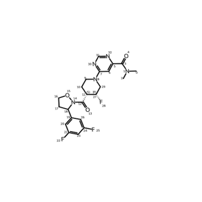 CN(C)C(=O)c1cc(N2CC[C@@H](C(=O)N3OCCC3c3cc(F)cc(F)c3)[C@@H](F)C2)ncn1